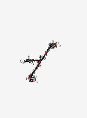 O=C(CCOCC(COCCC(=O)NCCOCCOCCOCCOC[C@@]12CO[C@@H](O1)[C@H](Nc1nccc(C(F)(F)F)n1)[C@@H](O)[C@H]2O)NC(=O)COCCOCCOCCNc1ccc([N+](=O)[O-])cc1[N+](=O)[O-])NCCOCCOCCOCCOC[C@@]12CO[C@@H](O1)[C@H](Nc1nccc(C(F)(F)F)n1)[C@@H](O)[C@H]2O